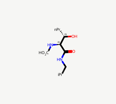 CCC[C@H](O)[C@H](NC(=O)O)C(=O)NCC(C)C